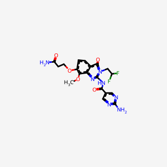 COc1c(OCCC(N)=O)ccc2c(=O)n(CC(F)F)c(NC(=O)c3cnc(N)nc3)nc12